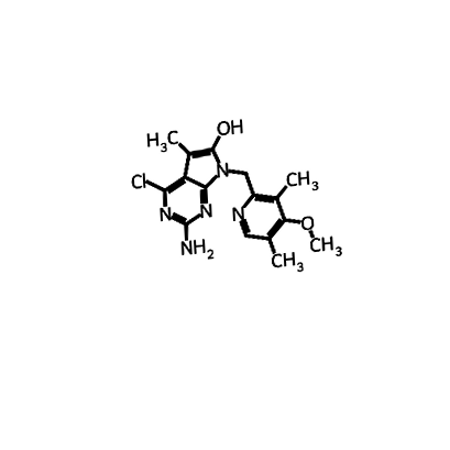 COc1c(C)cnc(Cn2c(O)c(C)c3c(Cl)nc(N)nc32)c1C